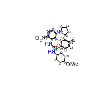 COC1CCC(NC(=O)Nc2cc(N3CCC[C@@H]3c3cc(F)ccc3F)cnc2[N+](=O)[O-])CC1